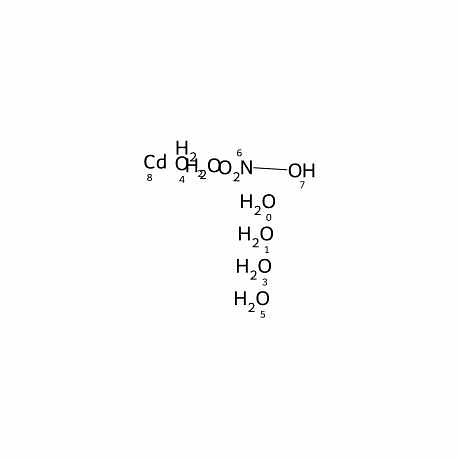 O.O.O.O.O.O.O=[N+]([O-])O.[Cd]